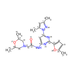 Cc1cc(C)n(-c2cc(NC(=O)CN3CC(C)OC(C)C3)nc(-c3ccc(C)o3)n2)n1